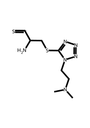 CN(C)CCn1nnnc1SCC(N)[C]=S